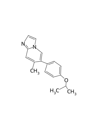 Cc1cc2nccn2cc1-c1ccc(OC(C)C)cc1